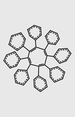 c1ccc(C2=C(c3ccccc3)C(c3ccccc3)=C(c3ccccc3)C(c3ccccc3)=C(c3ccccc3)C(c3ccccc3)=C2c2ccccc2)cc1